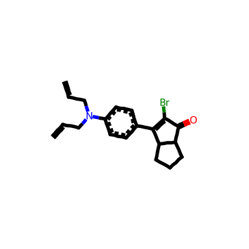 C=CCN(CC=C)c1ccc(C2=C(Br)C(=O)C3CCCC23)cc1